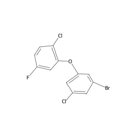 Fc1ccc(Cl)c(Oc2cc(Cl)cc(Br)c2)c1